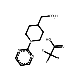 O=C(O)C(F)(F)F.O=C(O)CC1CCN(c2ncccn2)CC1